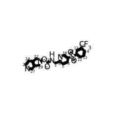 O=C(NCc1ccc(S(=O)(=O)c2cccc(C(F)(F)F)c2)cn1)ON1Cc2ccncc2C1